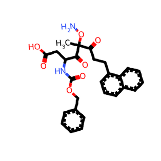 CC(ON)(C(=O)CCc1cccc2ccccc12)C(=O)C(CC(=O)O)NC(=O)OCc1ccccc1